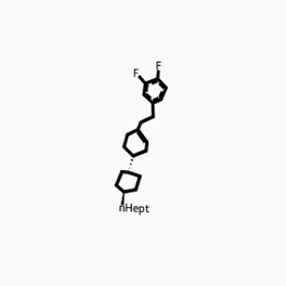 CCCCCCC[C@H]1CC[C@H](C2CC=C(CCc3ccc(F)c(F)c3)CC2)CC1